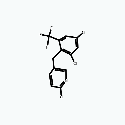 FC(F)(F)c1cc(Cl)[c]c(Cl)c1Cc1ccc(Cl)nc1